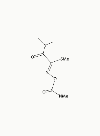 CNC(=O)O/N=C(\SC)C(=O)N(C)C